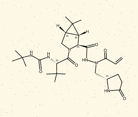 C=CC(=O)N(C[C@@H]1CCC(=O)N1)NC(=O)[C@@H]1[C@@H]2[C@H](CN1C(=O)[C@@H](NC(=O)NC(C)(C)C)C(C)(C)C)C2(C)C